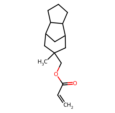 C=CC(=O)OCC1(C)CC2CC(C1)C1CCCC21